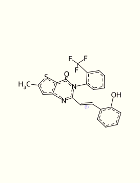 Cc1cc2nc(/C=C/c3ccccc3O)n(-c3ccccc3C(F)(F)F)c(=O)c2s1